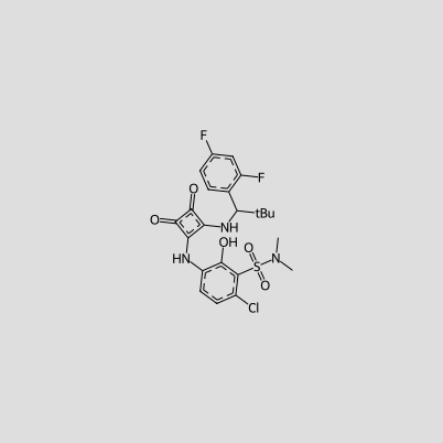 CN(C)S(=O)(=O)c1c(Cl)ccc(Nc2c(NC(c3ccc(F)cc3F)C(C)(C)C)c(=O)c2=O)c1O